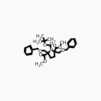 COC(=O)C1(COCc2ccccc2)CCC(COCc2ccccc2)(C(=O)OC)N1C(=O)OC(C)(C)C